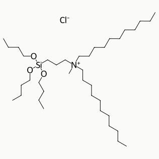 CCCCCCCCCCC[N+](C)(CCCCCCCCCCC)CCC[Si](OCCCC)(OCCCC)OCCCC.[Cl-]